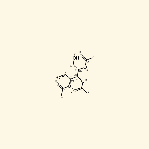 CC(=O)O[C@@H]([C@H](C=O)OC(C)=O)[C@H](CO)OC(C)=O